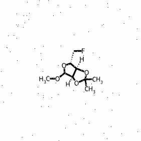 COC1O[C@H](CF)[C@H]2OC(C)(C)O[C@@H]12